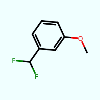 COc1[c]c(C(F)F)ccc1